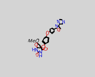 COCCC1(Oc2ccc(Oc3ccc(-c4nc(-c5cnccn5)co4)cc3)cc2)C(=O)NC(=O)NC1=O